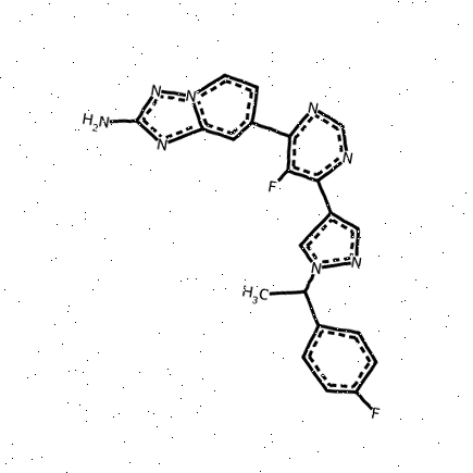 CC(c1ccc(F)cc1)n1cc(-c2ncnc(-c3ccn4nc(N)nc4c3)c2F)cn1